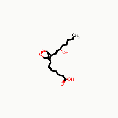 CCCCC[C@H](O)/C=C/C1C2CC(OO2)C1C/C=C\CCCC(=O)O